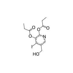 CCC(=O)Oc1ncc(CO)c(I)c1OC(=O)CC